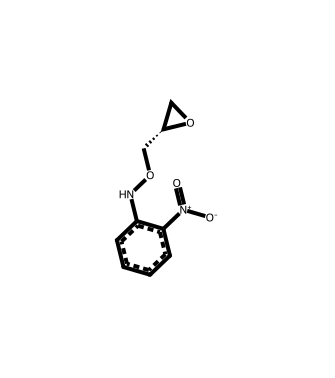 O=[N+]([O-])c1ccccc1NOC[C@@H]1CO1